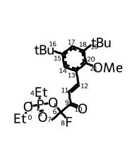 CCOP(=O)(CC)OC(C)(F)C(=O)C=Cc1cc(C(C)(C)C)cc(C(C)(C)C)c1OC